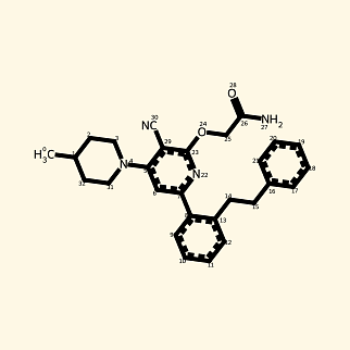 CC1CCN(c2cc(-c3ccccc3CCc3ccccc3)nc(OCC(N)=O)c2C#N)CC1